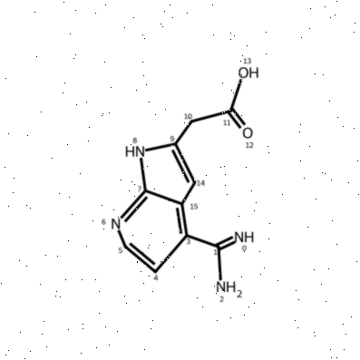 N=C(N)c1ccnc2[nH]c(CC(=O)O)cc12